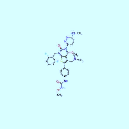 CNc1ccc(-n2c(=O)c3c(CN(C)C)c(-c4ccc(NC(=O)NOC)cc4)sc3n(Cc3c(F)cccc3F)c2=O)nn1